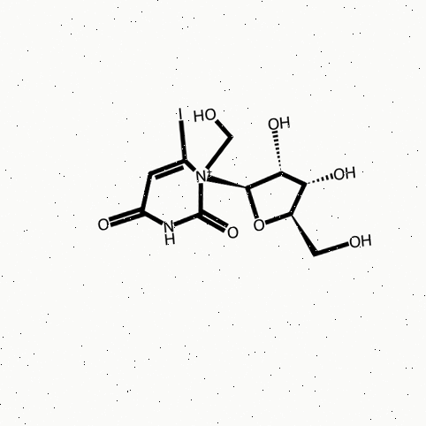 O=C1C=C(I)[N+](CO)([C@@H]2O[C@H](CO)[C@@H](O)[C@H]2O)C(=O)N1